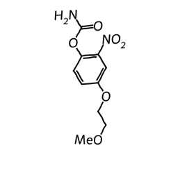 COCCOc1ccc(OC(N)=O)c([N+](=O)[O-])c1